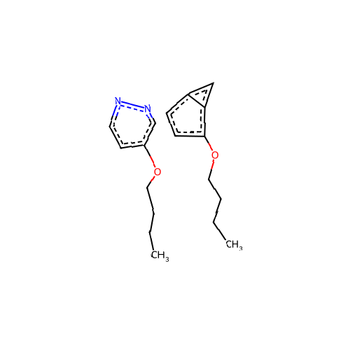 CCCCOc1ccc2cc1-2.CCCCOc1ccnnc1